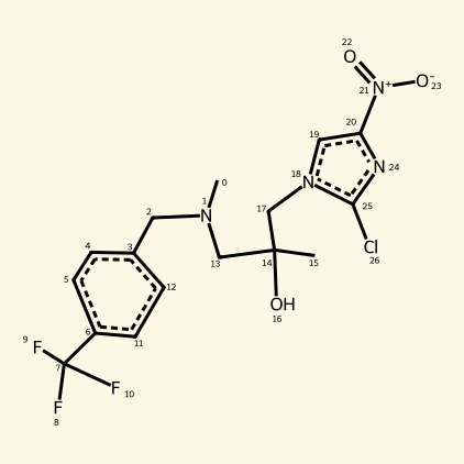 CN(Cc1ccc(C(F)(F)F)cc1)CC(C)(O)Cn1cc([N+](=O)[O-])nc1Cl